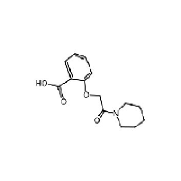 O=C(O)c1ccccc1OCC(=O)N1CCCCC1